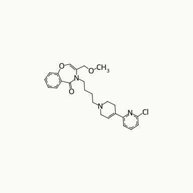 COCC1=COc2ccccc2C(=O)N1CCCCN1CC=C(c2cccc(Cl)n2)CC1